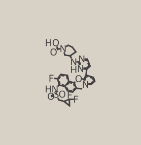 Cc1ccc2c(NS(=O)(=O)CC3CC3(F)F)c(F)ccc2c1Oc1ncccc1-c1ccnc(NC2CCCN(C(=O)O)C2)n1